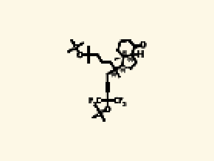 CC(C)(CCC[C@@](C)(CC#CC(O[Si](C)(C)C)(C(F)(F)F)C(F)(F)F)[C@H]1CC[C@H]2C(=O)CCC[C@]12C)O[Si](C)(C)C